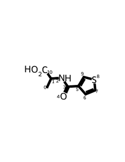 CC(NC(=O)c1ccsc1)C(=O)O